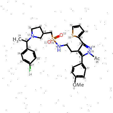 COc1ccc(-c2c(CCNS(=O)(=O)CC3CCN(C(C)c4ccc(F)cc4)C3)c(-c3cccs3)nn2C(C)=O)cc1